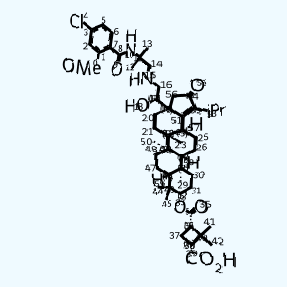 COc1cc(Cl)ccc1C(=O)NC(C)(C)CNC[C@H](O)[C@@]12CC[C@]3(C)[C@H](CC[C@@H]4[C@@]5(C)CC[C@H](OC(=O)[C@H]6C[C@@H](C(=O)O)C6(C)C)C(C)(C)[C@@H]5CC[C@]43C)C1=C(C(C)C)C(=O)C2